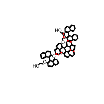 OCCOc1ccc2ccccc2c1-c1c(OCCOc2ccc3ccccc3c2C(c2cccc3ccccc23)c2c(OCCOc3ccc4ccccc4c3-c3c(OCCO)ccc4ccccc34)ccc3ccccc23)ccc2ccccc12